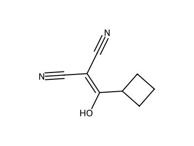 N#CC(C#N)=C(O)C1CCC1